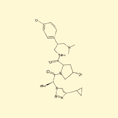 CN(C)CC(CNC(=O)C1CC(O)CN1C(=O)[C@@H](n1cc(C2CC2)nn1)C(C)(C)C)c1ccc(Cl)cc1